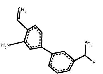 C=Cc1ccc(-c2cccc(C(F)P)c2)cc1N